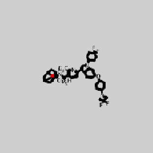 O=C(NC1(C(=O)O)C2CC3CC(C2)CC1C3)c1ccc(-c2cn(C3CCC(F)(F)CC3)c3cc(OC4CCC(N5CC(F)(F)C5)CC4)ccc23)nc1C(F)(F)F